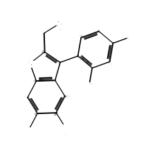 NCc1[nH]c2cc(Cl)c(F)cc2c1-c1ccc(Cl)cc1Cl